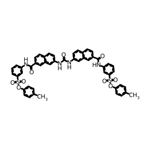 Cc1ccc(OS(=O)(=O)c2cccc(NC(=O)c3ccc4ccc(NC(=O)Nc5ccc6ccc(C(=O)Nc7cccc(S(=O)(=O)Oc8ccc(C)cc8)c7)cc6c5)cc4c3)c2)cc1